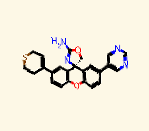 NC1=N[C@]2(CO1)c1cc(C3=CCSCC3)ccc1Oc1ccc(-c3cncnc3)cc12